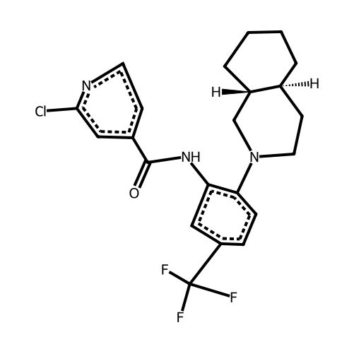 O=C(Nc1cc(C(F)(F)F)ccc1N1CC[C@@H]2CCCC[C@H]2C1)c1ccnc(Cl)c1